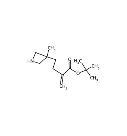 C=C(CCC1(C)CNC1)C(=O)OC(C)(C)C